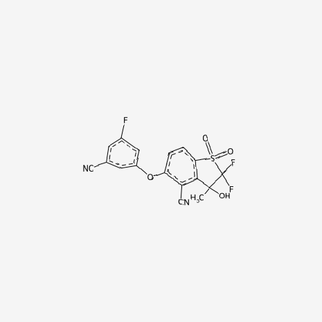 CC1(O)c2c(ccc(Oc3cc(F)cc(C#N)c3)c2C#N)S(=O)(=O)C1(F)F